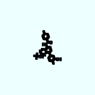 Cc1ccc(-c2cnc(NC(=O)C3=CCC(C)C=C3)c3cnc(NC(C)(C)C)nc23)cc1O